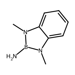 CN1B(N)N(C)c2ccccc21